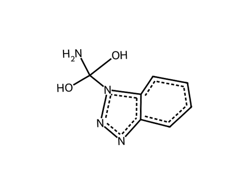 NC(O)(O)n1nnc2ccccc21